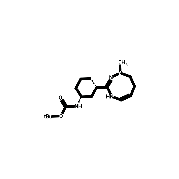 CN1CC/C=C\N/C([C@H]2CCC[C@@H](NC(=O)OC(C)(C)C)C2)=N\1